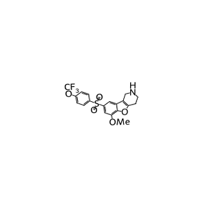 COc1cc(S(=O)(=O)c2ccc(OC(F)(F)F)cc2)cc2c3c(oc12)CCNC3